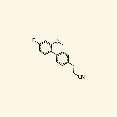 N#CCCc1ccc2c(c1)COc1cc(F)ccc1-2